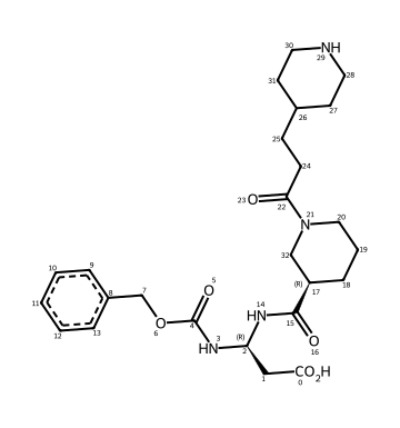 O=C(O)C[C@@H](NC(=O)OCc1ccccc1)NC(=O)[C@@H]1CCCN(C(=O)CCC2CCNCC2)C1